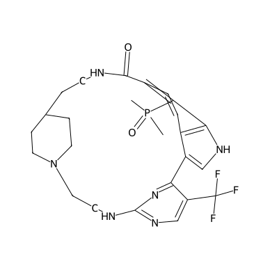 CP(C)(=O)c1c2ccc3c(c[nH]c13)-c1nc(ncc1C(F)(F)F)NCCN1CCC(CCNC2=O)CC1